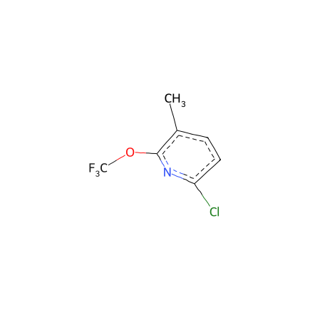 Cc1ccc(Cl)nc1OC(F)(F)F